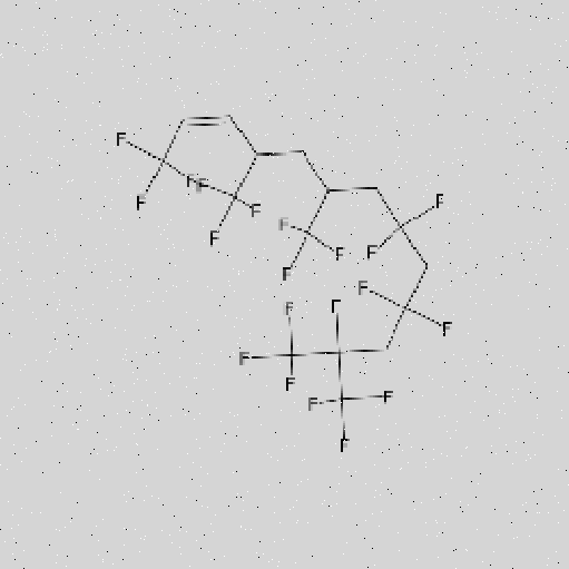 FC(F)(F)/C=C\C(CC(CC(F)(F)CC(F)(F)CC(F)(C(F)(F)F)C(F)(F)F)C(F)(F)F)C(F)(F)F